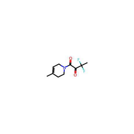 CC1=CCN(C(=O)C(=O)C(C)(F)F)CC1